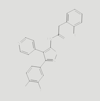 O=C(Cc1ccccc1Cl)Nc1onc(-c2ccc(F)c(F)c2)c1-c1ccncc1